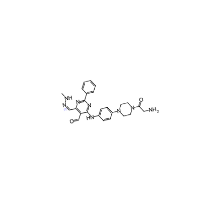 CN/N=C\c1nc(-c2ccccc2)nc(Nc2ccc(N3CCN(C(=O)CN)CC3)cc2)c1C=O